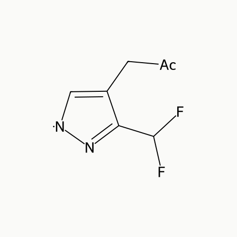 CC(=O)CC1=C[N]N=C1C(F)F